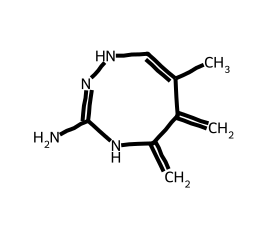 C=c1[nH]c(N)n[nH]cc(C)c1=C